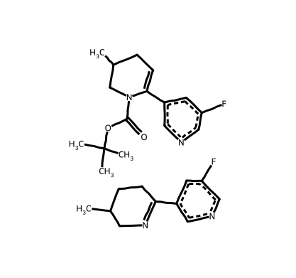 CC1CC=C(c2cncc(F)c2)N(C(=O)OC(C)(C)C)C1.CC1CCC(c2cncc(F)c2)=NC1